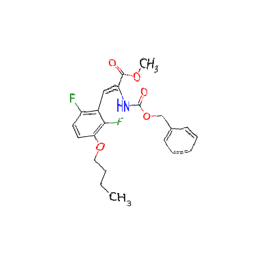 CCCCOc1ccc(F)c(/C=C(\NC(=O)OCc2ccccc2)C(=O)OC)c1F